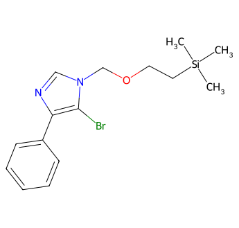 C[Si](C)(C)CCOCn1cnc(-c2ccccc2)c1Br